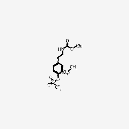 CC(C)(C)OC(=O)NCCc1ccc(OS(=O)(=O)C(F)(F)F)cc1.CS(=O)(=O)O